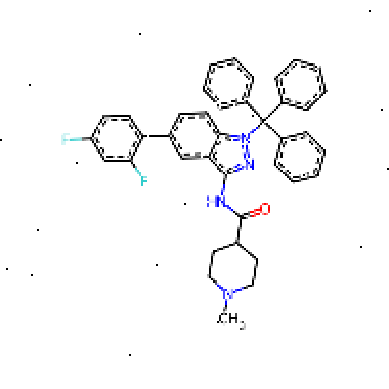 CN1CCC(C(=O)Nc2nn(C(c3ccccc3)(c3ccccc3)c3ccccc3)c3ccc(-c4ccc(F)cc4F)cc23)CC1